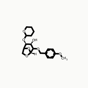 COc1ccc(COC2[C@@H]3OCC(O3)[C@@H](OC3CCCCO3)[C@H]2O)cc1